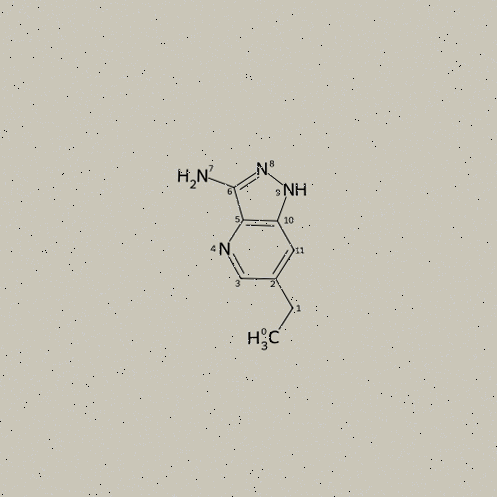 CCc1cnc2c(N)n[nH]c2c1